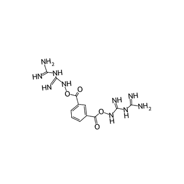 N=C(N)NC(=N)NOC(=O)c1cccc(C(=O)ONC(=N)NC(=N)N)c1